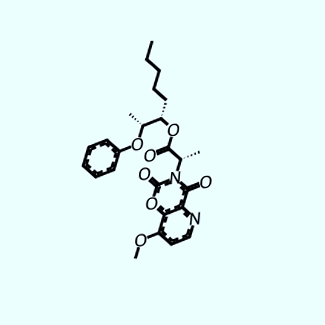 CCCCC[C@H](OC(=O)[C@H](C)n1c(=O)oc2c(OC)ccnc2c1=O)[C@@H](C)Oc1ccccc1